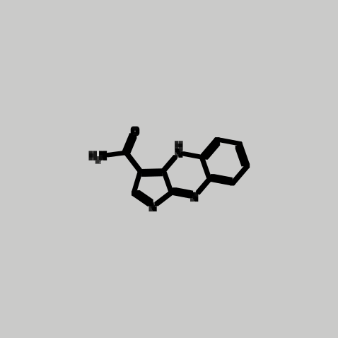 NC(=O)c1cnc2nc3ccccc3[nH]c1-2